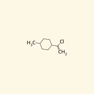 C=C(Cl)C1CCC(C)CC1